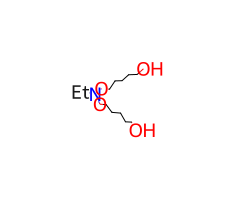 CCN(OCCCCCO)OCCCCCO